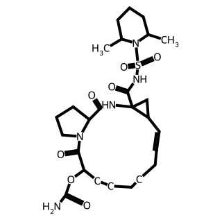 CC1CCCC(C)N1S(=O)(=O)NC(=O)C12CC1C=CCCCCCC(OC(N)=O)C(=O)N1CCCC1C(=O)N2